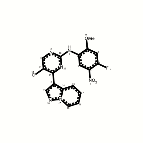 COc1cc(F)c([N+](=O)[O-])cc1Nc1ncc(Cl)c(-c2cnn3ccccc23)n1